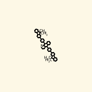 CC1(C)c2ccccc2-c2ccc(-c3ccc(-c4c5ccccc5c(-c5ccc(-c6ccc7c(c6)C(C)(C)c6ccccc6-7)cc5)c5ncccc45)cc3)cc21